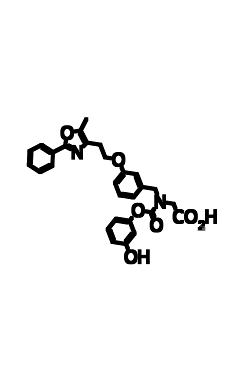 Cc1oc(-c2ccccc2)nc1CCOc1cccc(CN(CC(=O)O)C(=O)Oc2cccc(O)c2)c1